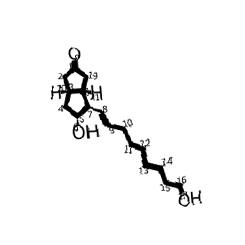 O=C1C[C@H]2C[C@@H](O)[C@H](/C=C/CCCCCCCO)[C@H]2C1